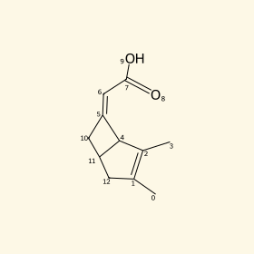 CC1=C(C)C2C(=CC(=O)O)CC2C1